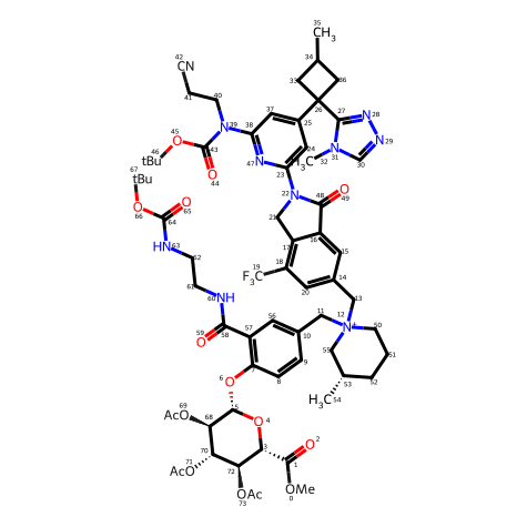 COC(=O)[C@H]1O[C@@H](Oc2ccc(C[N+]3(Cc4cc5c(c(C(F)(F)F)c4)CN(c4cc(C6(c7nncn7C)CC(C)C6)cc(N(CCC#N)C(=O)OC(C)(C)C)n4)C5=O)CCC[C@H](C)C3)cc2C(=O)NCCNC(=O)OC(C)(C)C)[C@H](OC(C)=O)[C@@H](OC(C)=O)[C@@H]1OC(C)=O